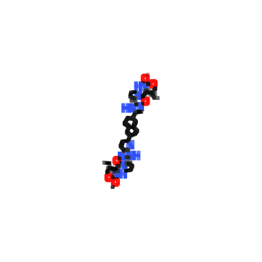 CC[C@H](C)[C@H](NC(=O)OC)C(=O)N1CCC[C@H]1c1ncc(-c2ccc3cc(-c4ccc5nc([C@@H]6CCCN6C(=O)[C@@H](NC(=O)OC)[C@@H](C)CC)[nH]c5n4)ccc3c2)[nH]1